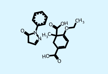 CCOC1=CC=C(C(=O)O)CC1(C)C(=O)O.O=C1CC=NN1c1ccccc1